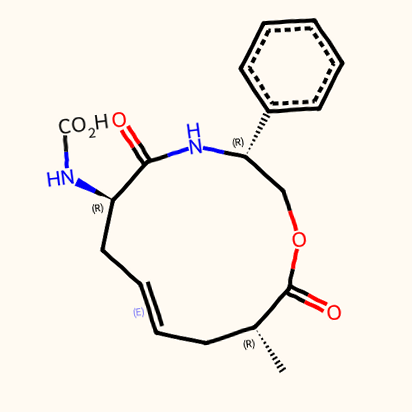 C[C@@H]1C/C=C/C[C@@H](NC(=O)O)C(=O)N[C@H](c2ccccc2)COC1=O